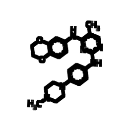 Cc1cnc(Nc2ccc(N3CCN(C)CC3)cc2)nc1Nc1ccc2c(c1)OCCO2